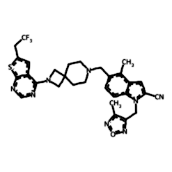 Cc1nonc1Cn1c(C#N)cc2c(C)c(CN3CCC4(CC3)CN(c3ncnc5sc(CC(F)(F)F)cc35)C4)ccc21